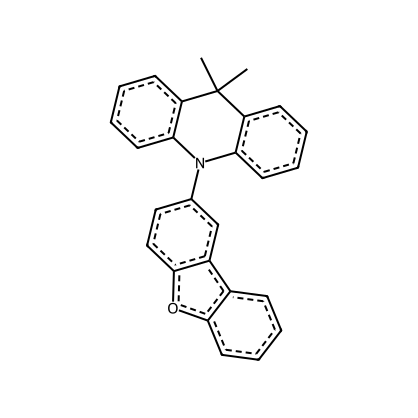 CC1(C)c2ccccc2N(c2ccc3oc4ccccc4c3c2)c2ccccc21